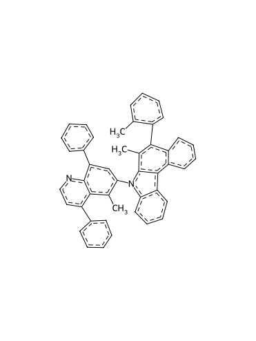 Cc1ccccc1-c1c(C)c2c(c3ccccc13)c1ccccc1n2-c1cc(-c2ccccc2)c2nccc(-c3ccccc3)c2c1C